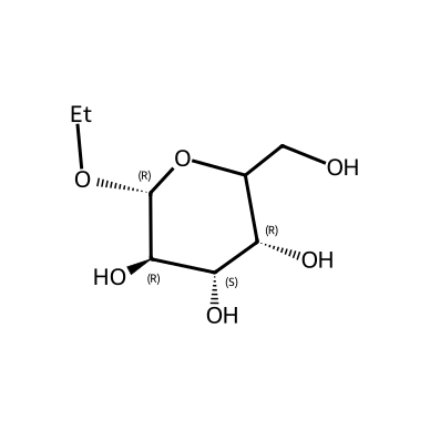 CCO[C@@H]1OC(CO)[C@H](O)[C@H](O)[C@H]1O